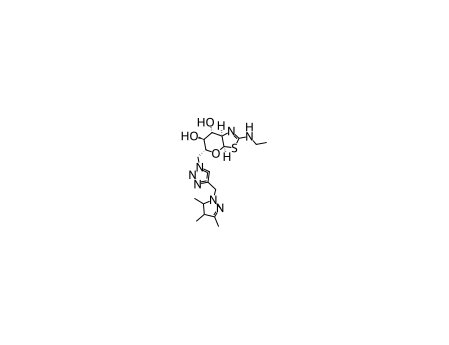 CCNC1=N[C@@H]2[C@@H](O)[C@H](O)[C@@H](Cn3cc(CN4N=C(C)C(C)C4C)nn3)O[C@@H]2S1